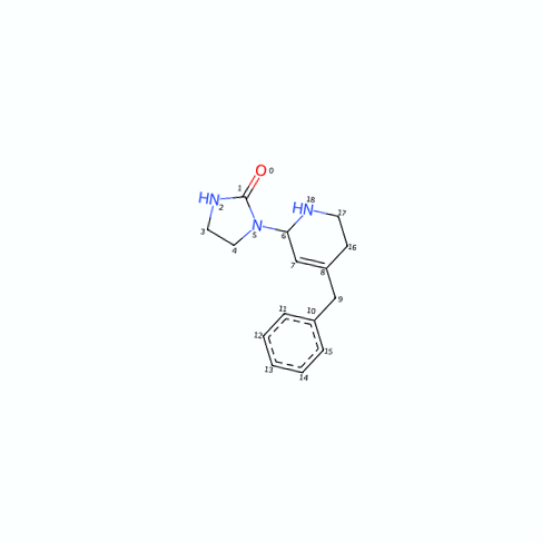 O=C1NCCN1C1C=C(Cc2ccccc2)CCN1